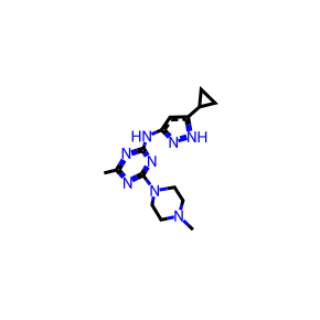 Cc1nc(Nc2cc(C3CC3)[nH]n2)nc(N2CCN(C)CC2)n1